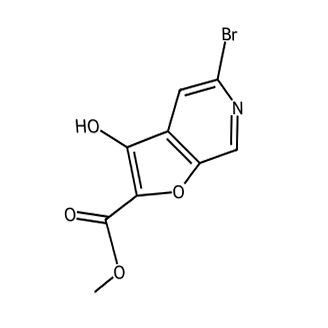 COC(=O)c1oc2cnc(Br)cc2c1O